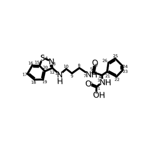 O=C(O)NC(C(=O)NCCCNc1nsc2ccccc12)c1ccccc1